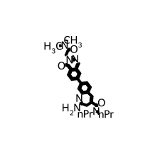 CCCN(CCC)C(=O)C1=Cc2ccc(-c3ccc4c(=O)n(CC(=O)N(C)C)ncc4c3)cc2N=C(N)C1